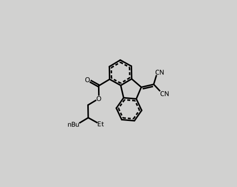 CCCCC(CC)COC(=O)c1cccc2c1-c1ccccc1C2=C(C#N)C#N